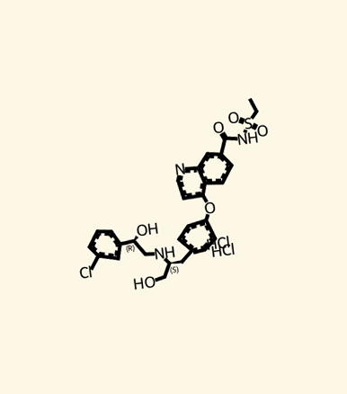 CCS(=O)(=O)NC(=O)c1ccc2c(Oc3ccc(C[C@@H](CO)NC[C@H](O)c4cccc(Cl)c4)cc3)ccnc2c1.Cl.Cl